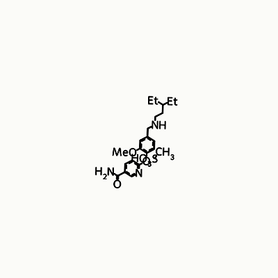 CCC(CC)CCNCc1ccc(Oc2ccc(C(N)=O)cn2)c(OC)c1.CS(=O)(=O)O